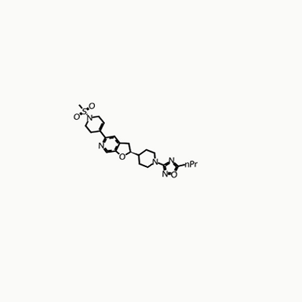 CCCc1nc(N2CCC([C@@H]3Cc4cc(C5=CCN(S(C)(=O)=O)CC5)ncc4O3)CC2)no1